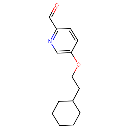 O=Cc1ccc(OCCC2CCCCC2)cn1